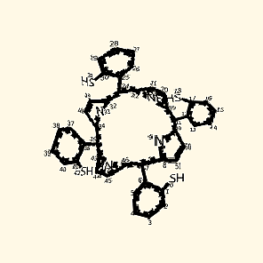 Sc1ccccc1-c1c2nc(c(-c3ccccc3S)c3ccc([nH]3)c(-c3ccccc3S)c3nc(c(-c4ccccc4S)c4ccc1[nH]4)C=C3)C=C2